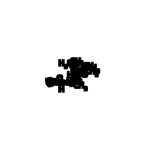 CC(CCCCNC(=O)OCc1ccccc1)NC(=O)[C@H](CCC(=O)OC(C)(C)C)NC(=O)OCCC(C)(C)C